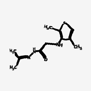 CC(C)=NNC(=O)CNc1c(C)csc1C